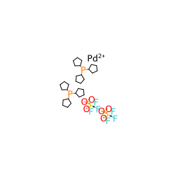 C1CCC(P(C2CCCC2)C2CCCC2)C1.C1CCC(P(C2CCCC2)C2CCCC2)C1.O=S(=O)([O-])C(F)(F)F.O=S(=O)([O-])C(F)(F)F.[Pd+2]